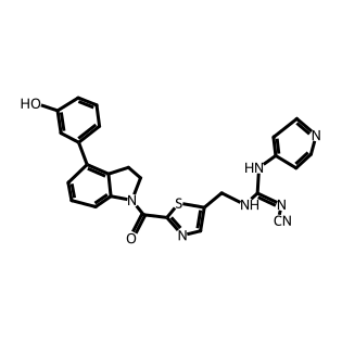 N#C/N=C(\NCc1cnc(C(=O)N2CCc3c(-c4cccc(O)c4)cccc32)s1)Nc1ccncc1